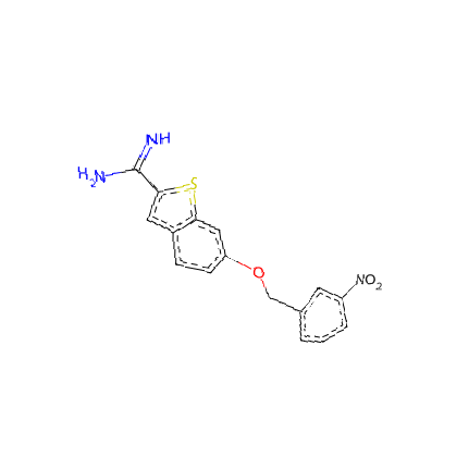 N=C(N)c1cc2ccc(OCc3cccc([N+](=O)[O-])c3)cc2s1